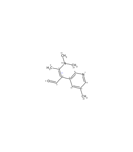 C/C(=C(\C=O)c1cncc(C)c1)N(C)C